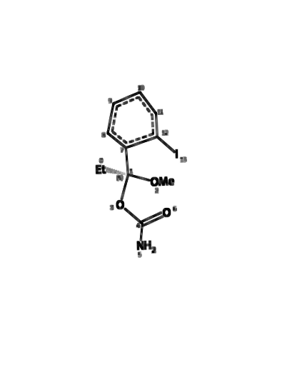 CC[C@](OC)(OC(N)=O)c1ccccc1I